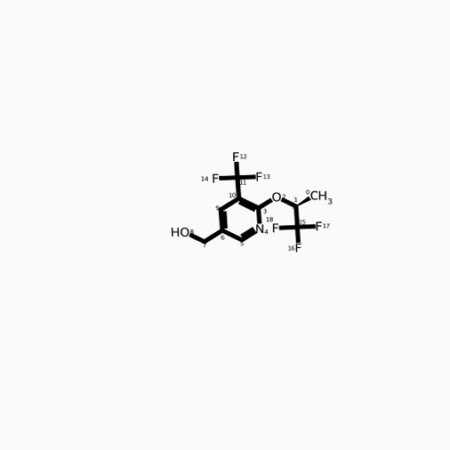 C[C@H](Oc1ncc(CO)cc1C(F)(F)F)C(F)(F)F